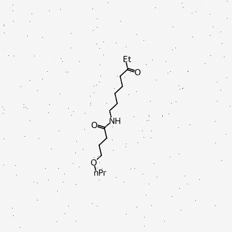 CCCOCCCC(=O)NCCCCCC(=O)CC